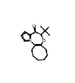 CC(C)(C)C1OC2=C(CCCCCC2)n2cccc2C1=O